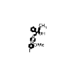 CC#CC(O)C(CCN1CCN(c2ccc(F)cc2OC)CC1)c1ccccc1